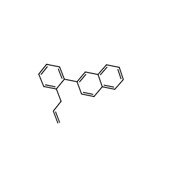 C=CCc1ccccc1-c1ccc2ccccc2c1